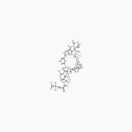 C=C/C(=C(\N=C/C)[C@H](C)OC)c1c2c3cc(ccc3n1CC)-c1cccc(c1)C[C@H](NC(=O)[C@H](C(C)C)N1CC[C@@]3(CCN(C(=O)C#CC(C)(C)N(C)C)C3)C1=O)C(=O)N1CCC[C@@](O)(N1)C(=O)OCC(C)(C)C2